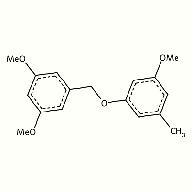 COc1cc(COc2cc(C)cc(OC)c2)cc(OC)c1